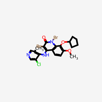 COc1ccc2c(Nc3c(C)cncc3Cl)c(Br)c(=O)n(Br)c2c1OC1CCCC1